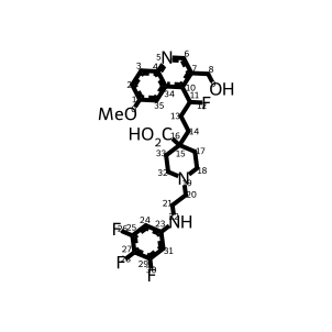 COc1ccc2ncc(CO)c(C(F)CCC3(C(=O)O)CCN(CCNc4cc(F)c(F)c(F)c4)CC3)c2c1